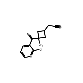 CC1(C(=O)c2cccnc2Cl)CC(CC#N)C1